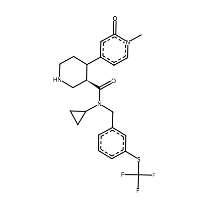 Cn1ccc(C2CCNC[C@@H]2C(=O)N(Cc2cccc(SC(F)(F)F)c2)C2CC2)cc1=O